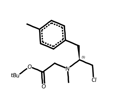 Cc1ccc(C[C@@H](CCl)N(C)CC(=O)OC(C)(C)C)cc1